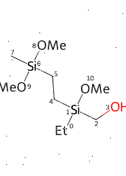 CC[Si](CO)(CC[Si](C)(OC)OC)OC